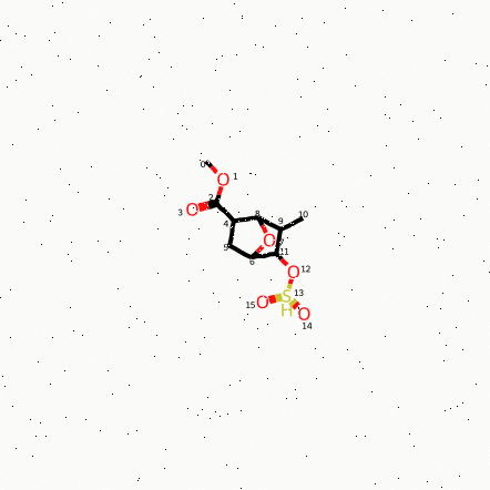 COC(=O)C1CC2OC1C(C)C2O[SH](=O)=O